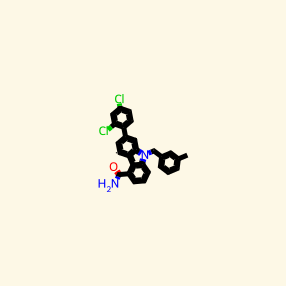 Cc1cccc(Cn2c3cc(-c4ccc(Cl)cc4Cl)c[c]c3c3c(C(N)=O)cccc32)c1